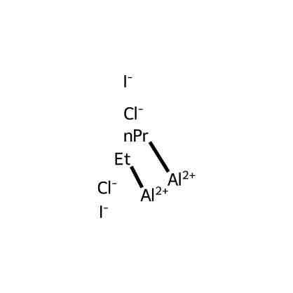 CC[CH2][Al+2].C[CH2][Al+2].[Cl-].[Cl-].[I-].[I-]